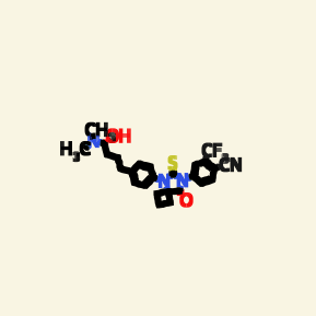 CN(C)C(O)CCCc1ccc(N2C(=S)N(c3ccc(C#N)c(C(F)(F)F)c3)C(=O)C23CCC3)cc1